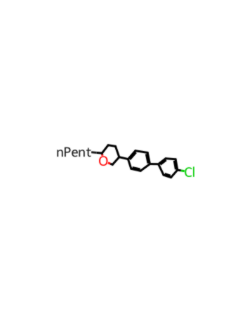 CCCCCC1CCC(c2ccc(-c3ccc(Cl)cc3)cc2)CO1